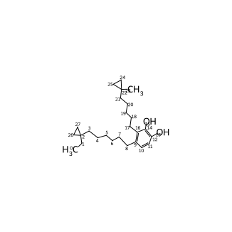 CCC1(CCCCCCc2ccc(O)c(O)c2CCCCCC2(C)CC2)CC1